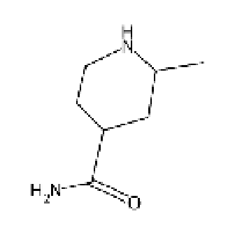 CC1CC(C(N)=O)CCN1